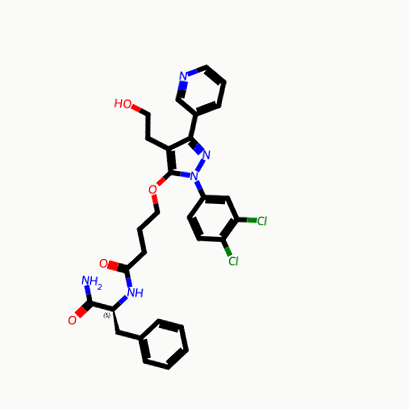 NC(=O)[C@H](Cc1ccccc1)NC(=O)CCCOc1c(CCO)c(-c2cccnc2)nn1-c1ccc(Cl)c(Cl)c1